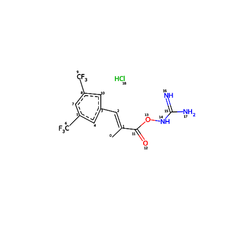 C/C(=C\c1cc(C(F)(F)F)cc(C(F)(F)F)c1)C(=O)ONC(=N)N.Cl